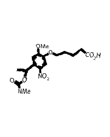 CNC(=O)OC(C)c1cc(OC)c(OCCCCC(=O)O)cc1[N+](=O)[O-]